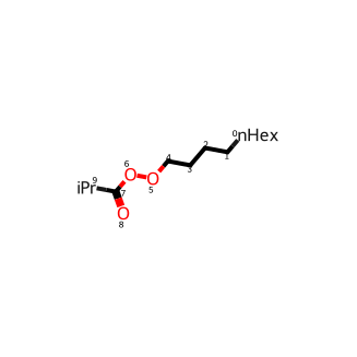 CCCCCCCCCCOOC(=O)C(C)C